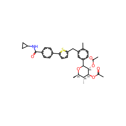 CC(=O)O[C@H]1[C@H](C)[C@@H](C)OC(c2ccc(C)c(Cc3ccc(-c4ccc(C(=O)NC5CC5)cc4)s3)c2)[C@@H]1OC(C)=O